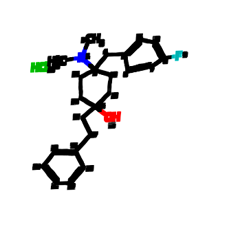 CN(C)C1(Cc2ccc(F)cc2)CCC(O)(CCc2ccccc2)CC1.Cl